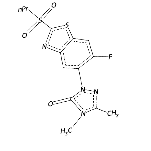 CCCS(=O)(=O)c1nc2cc(-n3nc(C)n(C)c3=O)c(F)cc2s1